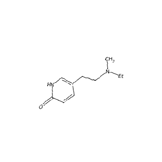 CCN(C)CCc1ccc(=O)[nH]c1